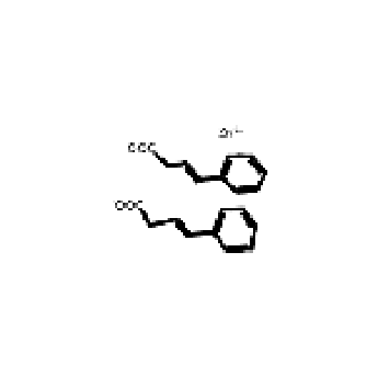 O=C([O-])C/C=C/c1ccccc1.O=C([O-])CC=Cc1ccccc1.[Zn+2]